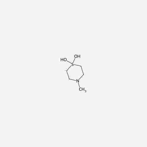 CN1C[CH]S(O)(O)CC1